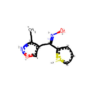 Cc1nocc1/C(=N/O)c1cccs1